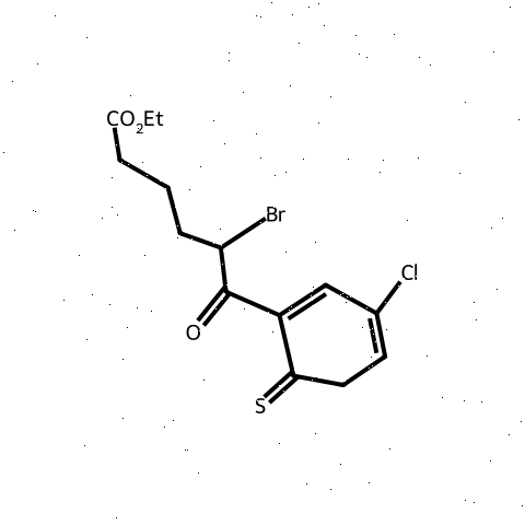 CCOC(=O)CCCC(Br)C(=O)C1=CC(Cl)=CCC1=S